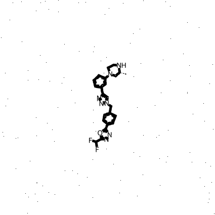 C[C@@H]1CN(c2cccc(-c3cn(Cc4ccc(-c5nnc(C(F)F)o5)cc4)nn3)c2)CCN1